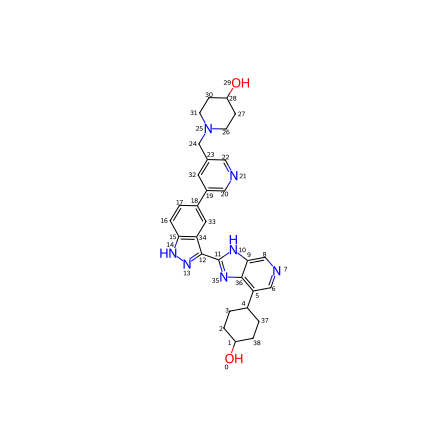 OC1CCC(c2cncc3[nH]c(-c4n[nH]c5ccc(-c6cncc(CN7CCC(O)CC7)c6)cc45)nc23)CC1